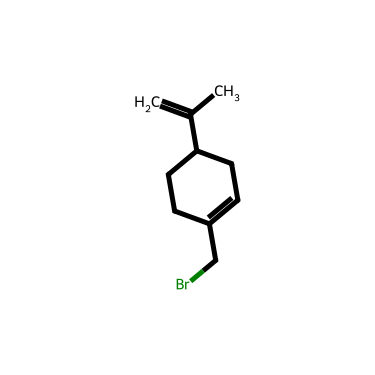 C=C(C)C1CC=C(CBr)CC1